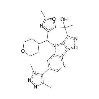 Cc1nc(C(C2CCOCC2)n2c3cc(-c4c(C)nnn4C)cnc3c3onc(C(C)(C)O)c32)co1